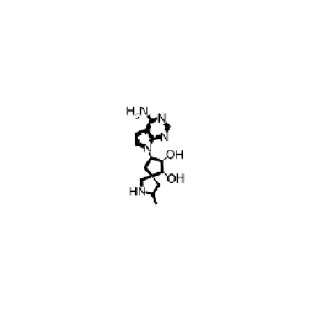 CC1C[C@@]2(CN1)C[C@@H](n1ccc3c(N)ncnc31)[C@H](O)[C@@H]2O